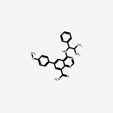 COc1ccc(-c2cc(C(N)=O)c3ncnc(NC(c4ccccc4)C(C)N)c3c2)cc1